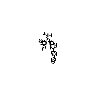 C=C(/C=C(\C=C(/CC)OCC)N(CCNC(C)C)c1ccc2ncc(-c3ccc(N4CCOCC4)nc3)nc2c1)OC